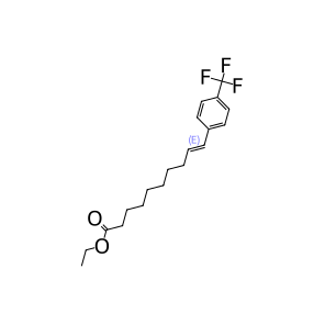 CCOC(=O)CCCCCCC/C=C/c1ccc(C(F)(F)F)cc1